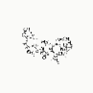 C=N/C(NC1(C)CC1)=C(\C)C(C(=O)NCc1ccc(OC)cc1C)=C(C)C